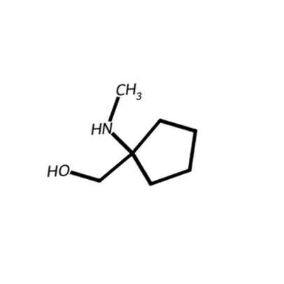 CNC1(CO)CCCC1